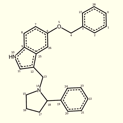 c1ccc(COc2ccc3[nH]cc(CN4CCCC4c4ccccc4)c3c2)cc1